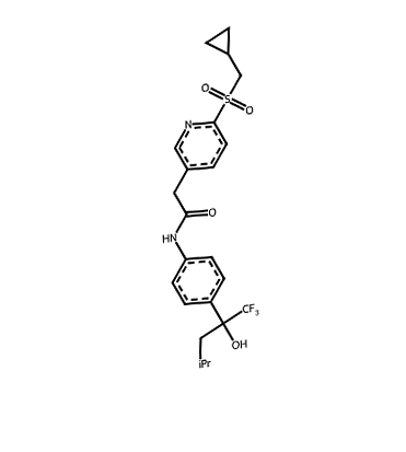 CC(C)CC(O)(c1ccc(NC(=O)Cc2ccc(S(=O)(=O)CC3CC3)nc2)cc1)C(F)(F)F